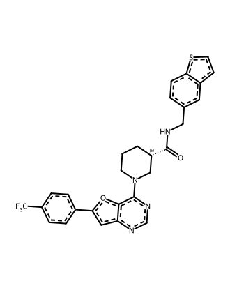 O=C(NCc1ccc2sccc2c1)[C@H]1CCCN(c2ncnc3cc(-c4ccc(C(F)(F)F)cc4)oc23)C1